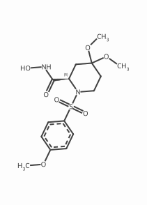 COc1ccc(S(=O)(=O)N2CCC(OC)(OC)C[C@@H]2C(=O)NO)cc1